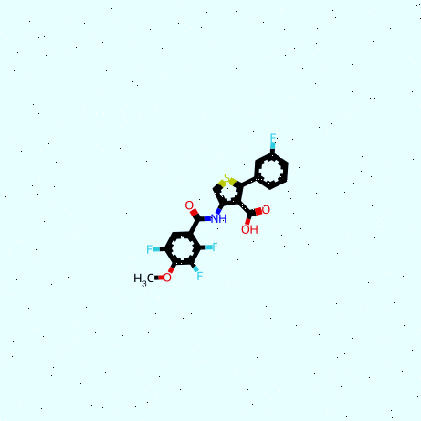 COc1c(F)cc(C(=O)Nc2csc(-c3cccc(F)c3)c2C(=O)O)c(F)c1F